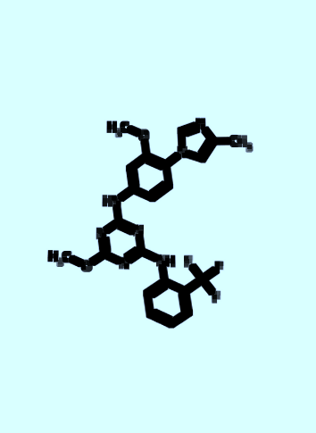 COc1nc(Nc2ccc(-n3cnc(C)c3)c(OC)c2)nc(Nc2ccccc2C(F)(F)F)n1